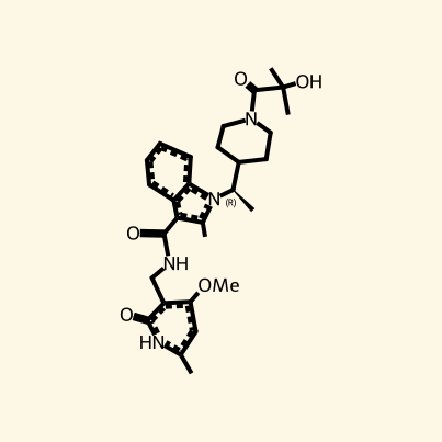 COc1cc(C)[nH]c(=O)c1CNC(=O)c1c(C)n([C@H](C)C2CCN(C(=O)C(C)(C)O)CC2)c2ccccc12